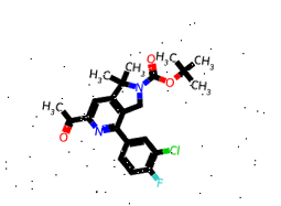 CC(=O)c1cc2c(c(-c3ccc(F)c(Cl)c3)n1)CN(C(=O)OC(C)(C)C)C2(C)C